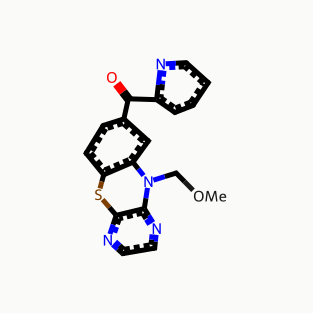 COCN1c2cc(C(=O)c3ccccn3)ccc2Sc2nccnc21